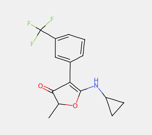 CC1OC(NC2CC2)=C(c2cccc(C(F)(F)F)c2)C1=O